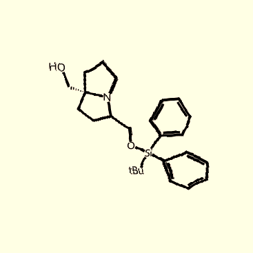 CC(C)(C)[Si](OCC1CC[C@@]2(CO)CCCN12)(c1ccccc1)c1ccccc1